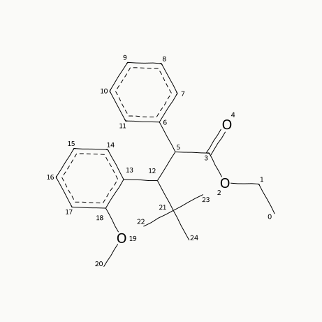 CCOC(=O)C(c1ccccc1)C(c1ccccc1OC)C(C)(C)C